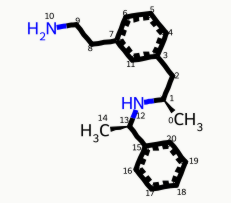 C[C@H](Cc1cccc(CCN)c1)N[C@H](C)c1ccccc1